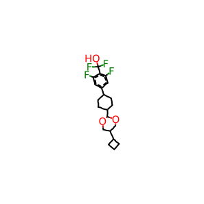 OC(F)(F)c1c(F)cc(C2CCC(C3OCC(C4CCC4)CO3)CC2)cc1F